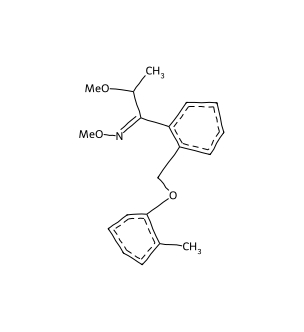 CON=C(c1ccccc1COc1ccccc1C)C(C)OC